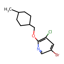 CC1CCC(COc2ncc(Br)cc2Cl)CC1